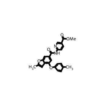 COC(=O)c1ccc(NC(=O)c2cc(Oc3ccc(C)cc3)c3cc(C)oc3c2)nc1